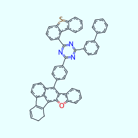 C1=CC2=C(CC1)c1c3oc4ccccc4c3c(-c3ccc(-c4nc(-c5cccc(-c6ccccc6)c5)nc(-c5cccc6sc7ccccc7c56)n4)cc3)c3cccc2c13